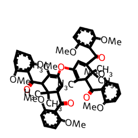 COc1cccc(OC)c1C(=O)C1=CC(OC2=C(C)C(C(=O)c3c(OC)cccc3OC)C(C)(C)C(C(=O)c3c(OC)cccc3OC)=C2)=C(C)C(C(=O)c2c(OC)cccc2OC)C1(C)C